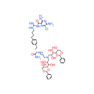 N=C(NCCCCc1ccc(CC[C@H](NCCCN(C[C@H](O)[C@@H](O)[C@@H]2OC(c3ccccc3)OC[C@H]2O)C[C@H](O)[C@@H](O)[C@@H]2OC(c3ccccc3)OC[C@H]2O)C(N)=O)cc1)NC(=O)c1nc(Cl)c(N)nc1N